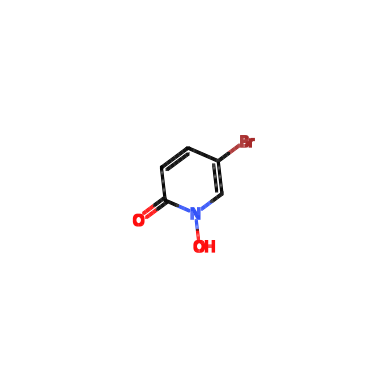 O=c1ccc(Br)cn1O